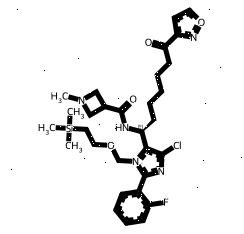 CN1CC(C(=O)N[C@@H](CCCCCC(=O)c2ccon2)c2c(Cl)nc(-c3ccccc3F)n2COCC[Si](C)(C)C)C1